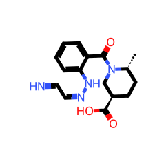 C[C@@H]1CC[C@@H](C(=O)O)CN1C(=O)c1ccccc1N/N=C\C=N